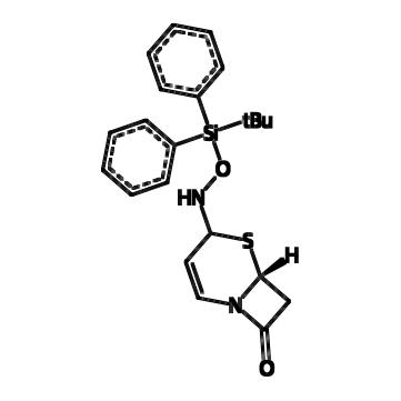 CC(C)(C)[Si](ONC1C=CN2C(=O)C[C@H]2S1)(c1ccccc1)c1ccccc1